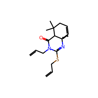 C=CCSC1=NC23C=CC=CC2=CCC(C)(C)C3C(=O)N1CC=C